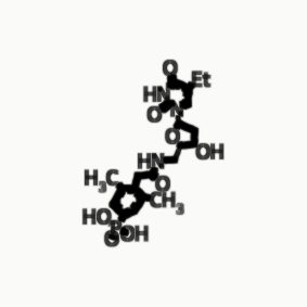 CCc1cn([C@H]2C[C@H](O)[C@@H](CNC(=O)Cc3c(C)cc(P(=O)(O)O)cc3C)O2)c(=O)[nH]c1=O